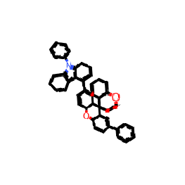 C1=Cc2c3c(n(-c4ccccc4)c2CC1)CCC=C3C1=CC2C(C=C1)OC1C=CC(c3ccccc3)=CC1C21C2CCCC=C2OC2CCC=CC21